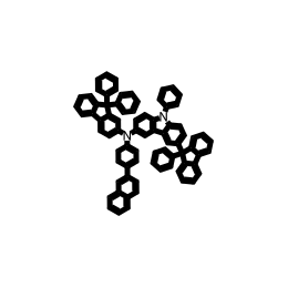 C1=C(c2ccc3ccccc3c2)CCC(N(c2ccc3c(c2)C(c2ccccc2)(c2ccccc2)c2ccccc2-3)c2ccc3c(c2)c2cc(C4(c5ccccc5)c5ccccc5-c5ccccc54)ccc2n3-c2ccccc2)=C1